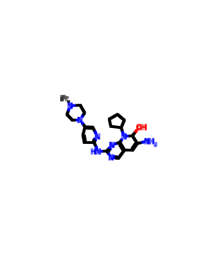 CC(C)N1CCN(c2ccc(Nc3ncc4c(n3)N(C3CCCC3)C(O)C(N)=C4)nc2)CC1